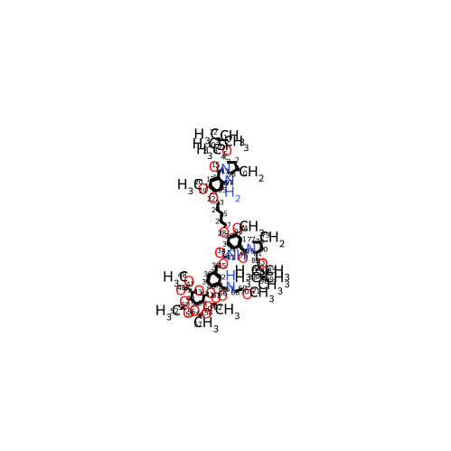 C=C1C[C@@H](CO[Si](C)(C)C(C)(C)C)N(C(=O)c2cc(OC)c(OCCCCCOc3cc(NC(=O)OCc4ccc(O[C@@H]5O[C@H](C(=O)OC)[C@@H](OC(C)=O)C(OC(C)=O)[C@H]5OC(C)=O)c(C(=O)NCCOC)c4)c(C(=O)N4CC(=C)C[C@H]4CO[Si](C)(C)C(C)(C)C)cc3OC)cc2N)C1